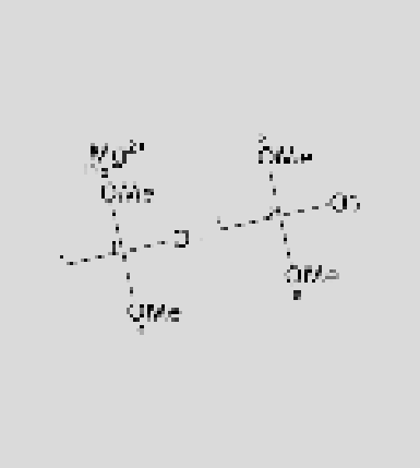 COC(C)([O-])OC.COC(C)([O-])OC.[Mg+2]